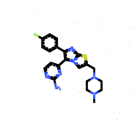 CN1CCN(Cc2cn3c(-c4ccnc(N)n4)c(-c4ccc(F)cc4)nc3s2)CC1